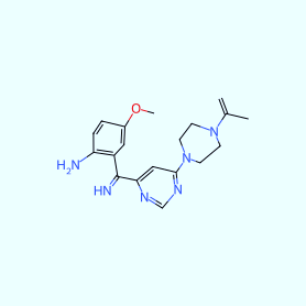 C=C(C)N1CCN(c2cc(C(=N)c3cc(OC)ccc3N)ncn2)CC1